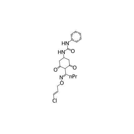 CCC/C(=N\OC/C=C/Cl)C1C(=O)CC(NC(=O)Nc2ccccc2)CC1=O